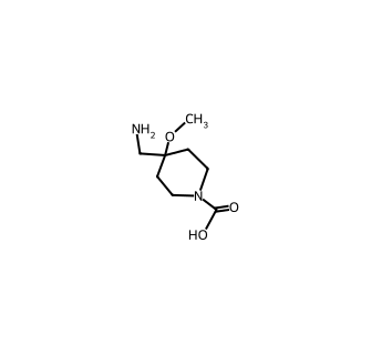 COC1(CN)CCN(C(=O)O)CC1